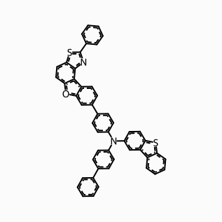 c1ccc(-c2ccc(N(c3ccc(-c4ccc5c(c4)oc4ccc6sc(-c7ccccc7)nc6c45)cc3)c3ccc4sc5ccccc5c4c3)cc2)cc1